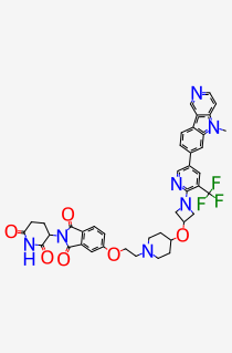 Cn1c2ccncc2c2ccc(-c3cnc(N4CC(OC5CCN(CCOc6ccc7c(c6)C(=O)N(C6CCC(=O)NC6=O)C7=O)CC5)C4)c(C(F)(F)F)c3)cc21